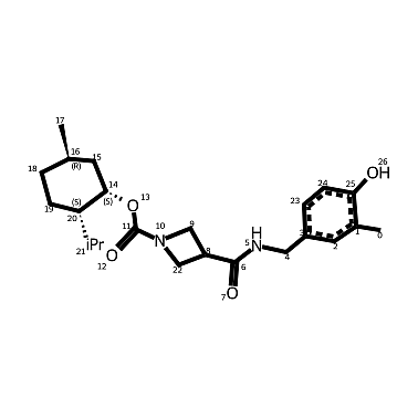 Cc1cc(CNC(=O)C2CN(C(=O)O[C@H]3C[C@H](C)CC[C@H]3C(C)C)C2)ccc1O